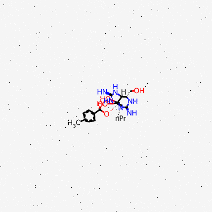 CCC[C@H]1[C@H](OC(=O)c2ccc(C)cc2)C(O)(O)[C@]23NC(=N)N[C@H]2[C@H](CO)NC(=N)N13